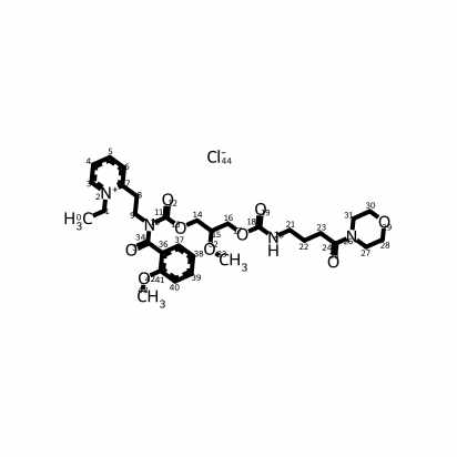 CC[n+]1ccccc1CCN(C(=O)OCC(COC(=O)NCCCC(=O)N1CCOCC1)OC)C(=O)c1ccccc1OC.[Cl-]